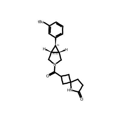 CC(C)(C)c1cccc([C@H]2[C@@H]3CN(C(=O)C4CC5(CCC(=O)N5)C4)C[C@@H]32)c1